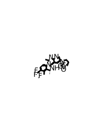 Cc1nc(N[C@H](C)c2cccc(C(F)(F)F)c2C)c2cc(N3CCCS3(=O)=O)cnc2n1